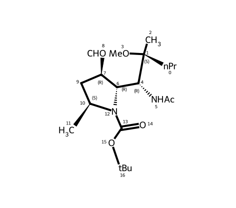 CCC[C@](C)(OC)[C@H](NC(C)=O)[C@H]1[C@H](C=O)C[C@H](C)N1C(=O)OC(C)(C)C